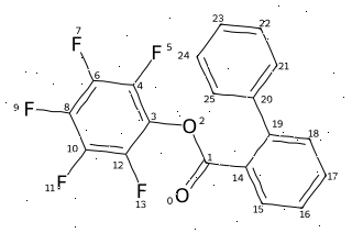 O=C(Oc1c(F)c(F)c(F)c(F)c1F)c1ccccc1-c1ccccc1